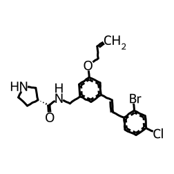 C=CCOc1cc(/C=C/c2ccc(Cl)cc2Br)cc(CNC(=O)[C@@H]2CCNC2)c1